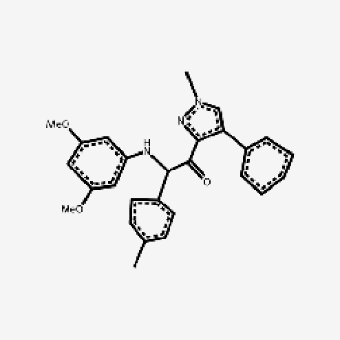 COc1cc(NC(C(=O)c2nn(C)cc2-c2ccccc2)c2ccc(C)cc2)cc(OC)c1